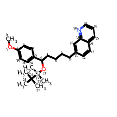 COc1ccc(C(CCCCc2ccc3cccnc3c2)O[Si](C)(C)C(C)(C)C)cc1